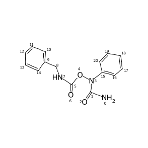 NC(=O)N(OC(=O)NCc1ccccc1)c1ccccc1